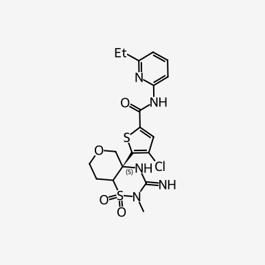 CCc1cccc(NC(=O)c2cc(Cl)c([C@]34COCCC3S(=O)(=O)N(C)C(=N)N4)s2)n1